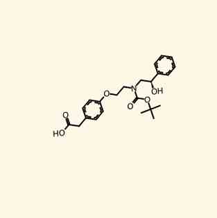 CC(C)(C)OC(=O)N(CCOc1ccc(CC(=O)O)cc1)C[C@H](O)c1ccccc1